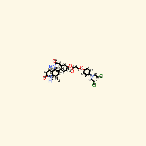 C[C@]12CC[C@H](OC(=O)CCOc3ccc(N(CCCl)CCCl)cc3)CC1=CC(=O)N[C@H]1[C@H]3CCC(=O)N[C@@]3(C)CC[C@@H]12